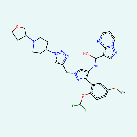 CC(C)Sc1ccc(OC(F)F)c(-c2nn(Cc3cn(C4CCN(C5CCOC5)CC4)nn3)cc2NC(O)c2cnn3cccnc23)c1